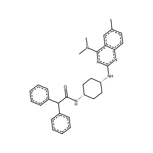 Cc1ccc2nc(N[C@H]3CC[C@@H](NC(=O)C(c4ccccc4)c4ccccc4)CC3)nc(N(C)C)c2c1